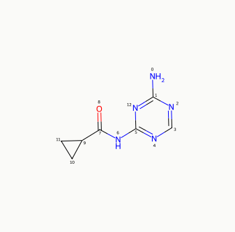 Nc1ncnc(NC(=O)C2CC2)n1